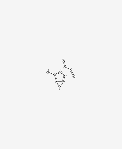 Clc1ccc2cc1-2.O=CC=O